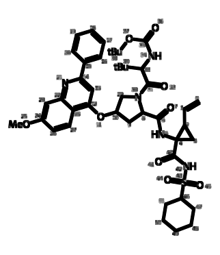 C=CC1CC1(NC(=O)C1CC(Oc2cc(-c3ccccc3)nc3cc(OC)ccc23)CN1C(=O)C(NC(=O)OC(C)(C)C)C(C)(C)C)C(=O)NS(=O)(=O)C1CCCCC1